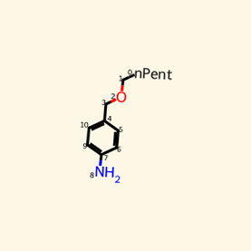 CCCCCCOCc1ccc(N)cc1